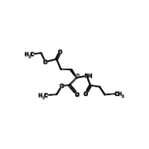 CCCC(=O)N[C@H](CCC(=O)OCC)C(=O)OCC